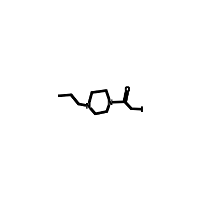 CCCN1CCN(C(=O)CI)CC1